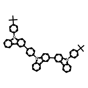 CC(C)(C)c1ccc(-n2c3ccccc3c3cc(-c4ccc(-n5c6ccccc6c6cc(-c7ccc8c(c7)c7ccccc7n8-c7ccc(C(C)(C)C)cc7)ccc65)cc4)ccc32)cc1